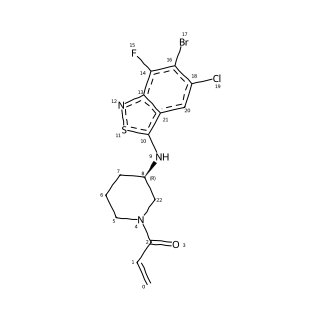 C=CC(=O)N1CCC[C@@H](Nc2snc3c(F)c(Br)c(Cl)cc23)C1